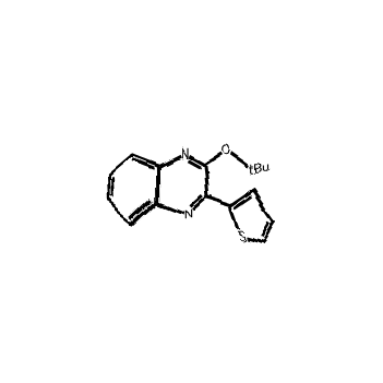 CC(C)(C)Oc1nc2ccccc2nc1-c1cccs1